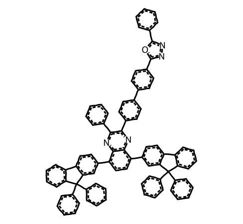 c1ccc(-c2nnc(-c3ccc(-c4ccc(-c5nc6c(-c7ccc8c(c7)C(c7ccccc7)(c7ccccc7)c7ccccc7-8)ccc(-c7ccc8c(c7)C(c7ccccc7)(c7ccccc7)c7ccccc7-8)c6nc5-c5ccccc5)cc4)cc3)o2)cc1